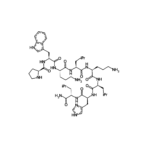 CC(C)C[C@H](NC(=O)[C@H](Cc1c[nH]cn1)NC(=O)[C@H](CC(C)C)NC(=O)[C@H](CCCN)NC(=O)[C@H](CC(C)C)NC(=O)[C@H](CCCN)NC(=O)[C@H](Cc1c[nH]c2ccccc12)NC(=O)[C@@H]1CCCN1)C(N)=O